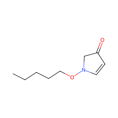 CCCCCON1C=CC(=O)C1